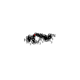 Cn1cc(-c2cc(C(C)(C)O)ccc2OC2CC(OC3CCN(c4ncc(C(=O)NC5C(C)(C)C(Oc6ccc(C#N)c(Cl)c6)C5(C)C)cn4)CC3)C2)c2cc[nH]c2c1=O